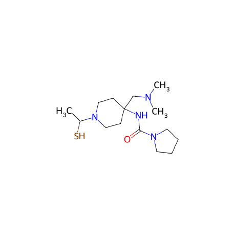 CC(S)N1CCC(CN(C)C)(NC(=O)N2CCCC2)CC1